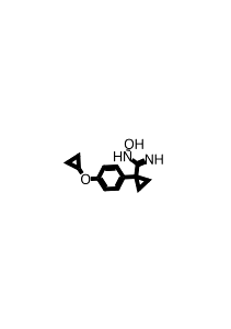 N=C(NO)C1(c2ccc(OC3CC3)cc2)CC1